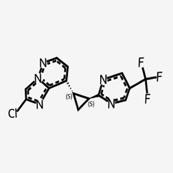 FC(F)(F)c1cnc([C@H]2C[C@@H]2c2ccnn3cc(Cl)nc23)nc1